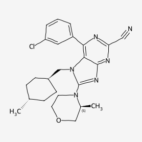 C[C@H]1COCCN1c1nc2nc(C#N)nc(-c3cccc(Cl)c3)c2n1C[C@H]1CC[C@H](C)CC1